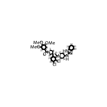 COc1cc(C(=O)N2CC[C@@](CCN3CCC(Nc4nc5ccccc5[nH]4)CC3)(c3ccc(Cl)c(Cl)c3)C2)cc(OC)c1OC